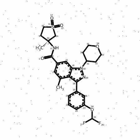 Cc1cc(C(=O)N[C@@]2(C)CCS(=O)(=O)C2)cc2c1c(-c1cccc(OC(F)F)c1)nn2C1CCOCC1